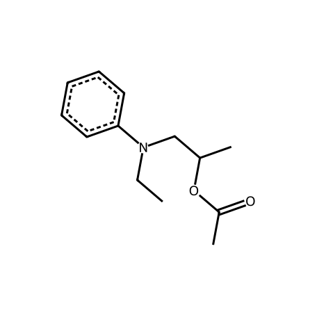 CCN(CC(C)OC(C)=O)c1ccccc1